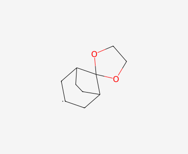 [CH]1CC2CCC(C1)C21OCCO1